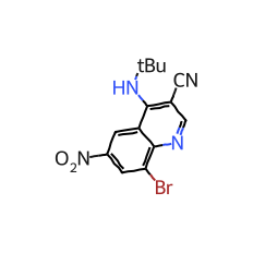 CC(C)(C)Nc1c(C#N)cnc2c(Br)cc([N+](=O)[O-])cc12